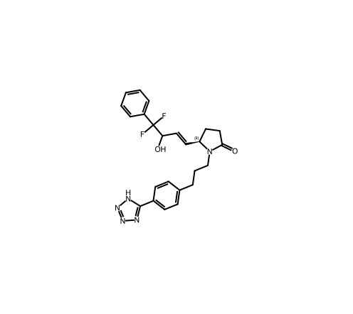 O=C1CC[C@H](C=CC(O)C(F)(F)c2ccccc2)N1CCCc1ccc(-c2nnn[nH]2)cc1